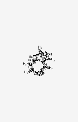 CCC(C)CCCCC(=O)N[C@@H](CCN)C(=O)N[C@H](C(=O)N[C@@H](CCN)C(=O)N[C@H]1CCNC(=O)[C@H]([C@@H](C)O)NC(=O)[C@H](CCN)NC(=O)[C@H](CCN)NC(=O)[C@H]([C@@H](C)O)NC(=O)[C@@H](CC(C)C)NC(=O)[C@H](CCN)NC1=O)[C@@H](C)O